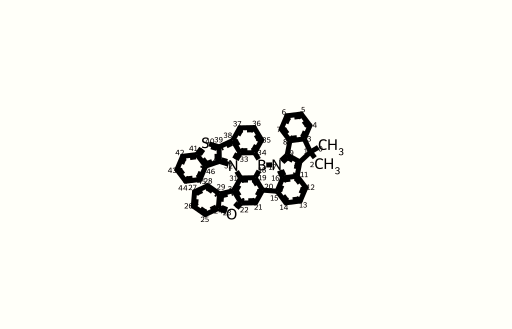 CC1(C)c2ccccc2-c2c1c1cccc3c1n2B1c2c-3cc3oc4ccccc4c3c2-n2c3c1cccc3c1sc3ccccc3c12